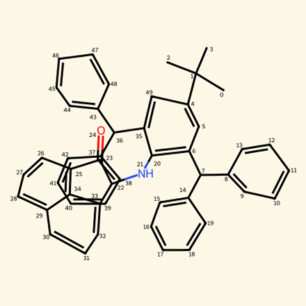 CC(C)(C)c1cc(C(c2ccccc2)c2ccccc2)c(NC2C(=O)c3cccc4cccc2c34)c(C(c2ccccc2)c2ccccc2)c1